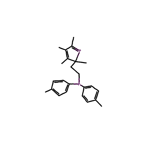 CC1=PC(C)(CCP(c2ccc(C)cc2)c2ccc(C)cc2)C(C)=C1C